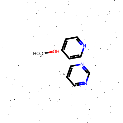 O=C(O)O.c1ccncc1.c1cncnc1